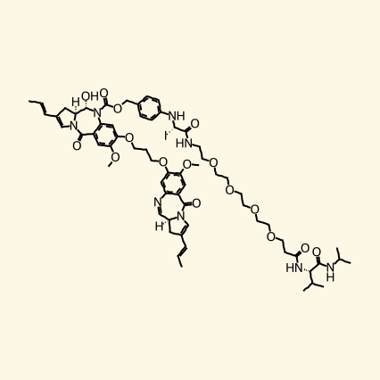 C/C=C/C1=CN2C(=O)c3cc(OC)c(OCCCOc4cc5c(cc4OC)C(=O)N4C=C(/C=C/C)C[C@H]4[C@H](O)N5C(=O)OCc4ccc(N[C@@H](I)C(=O)NCCOCCOCCOCCOCCC(=O)N[C@H](C(=O)NC(C)C)C(C)C)cc4)cc3N=C[C@@H]2C1